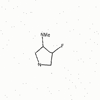 CNC1C[N]CC1F